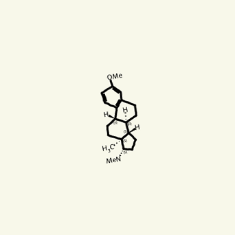 CN[C@H]1CC[C@H]2[C@@H]3CCc4cc(OC)ccc4[C@H]3CC[C@]12C